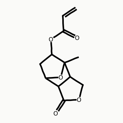 C=CC(=O)OC1CC2OC1(C)C1COC(=O)C21